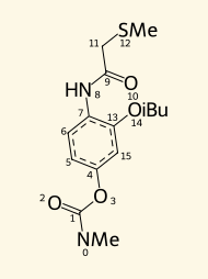 CNC(=O)Oc1ccc(NC(=O)CSC)c(OCC(C)C)c1